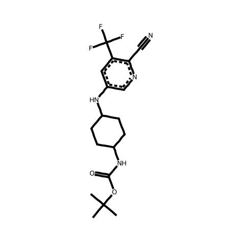 CC(C)(C)OC(=O)NC1CCC(Nc2cnc(C#N)c(C(F)(F)F)c2)CC1